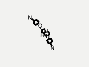 N#Cc1ccc(OC[C@H]2C[C@H]3CN(c4ccc(C#N)cc4)CCN3C2)cc1